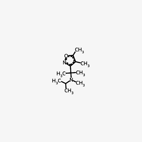 Cc1onc(C(C)(C)N(C)C(C)C)c1C